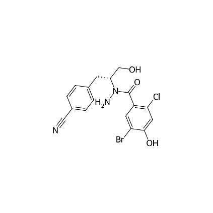 N#Cc1ccc(C[C@H](CO)N(N)C(=O)c2cc(Br)c(O)cc2Cl)cc1